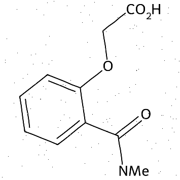 CNC(=O)c1ccccc1OCC(=O)O